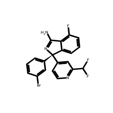 NC1=N[C@@](c2cccc(Br)c2)(c2ccnc(C(F)F)c2)c2cccc(F)c21